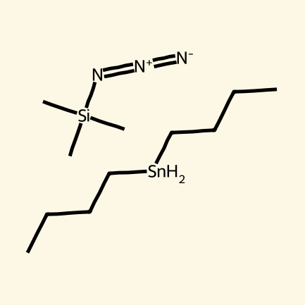 CCC[CH2][SnH2][CH2]CCC.C[Si](C)(C)N=[N+]=[N-]